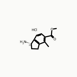 COC(=O)c1ccc2c(c1C)CC[C@@H]2N.Cl